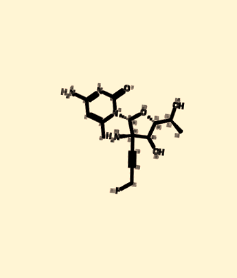 Cc1cc(N)nc(=O)n1[C@@H]1O[C@H]([C@H](C)O)C(O)[C@]1(N)C#CCF